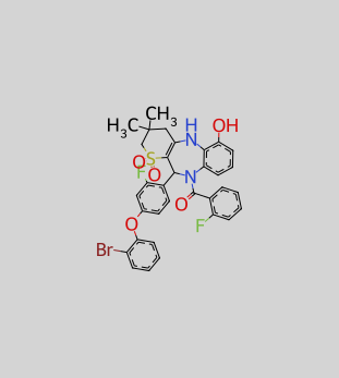 CC1(C)CC2=C(C(c3ccc(Oc4ccccc4Br)cc3F)N(C(=O)c3ccccc3F)c3cccc(O)c3N2)S(=O)(=O)C1